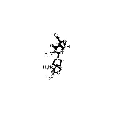 C#Cc1n[nH]c2nc(N3CCC4(CC3)CO[C@@H](C)[C@H]4N)n(C)c(=O)c12